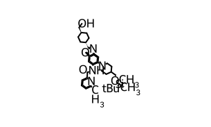 Cc1cccc(C(=O)Nc2cc3oc([C@H]4CC[C@H](CO)CC4)nc3cc2N2CCC(CO[Si](C)(C)C(C)(C)C)CC2)n1